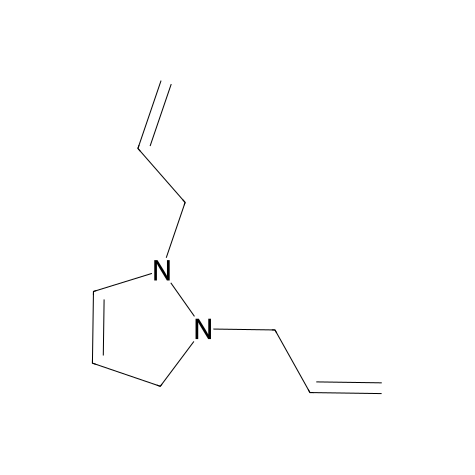 C=CCN1C=CCN1CC=C